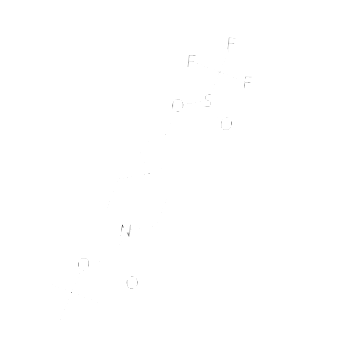 CC(C)(C)OC(=O)N1CCC2(C=C(OS(=O)C(F)(F)F)C2)CC1